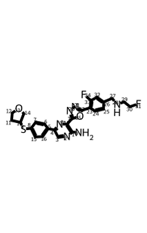 Nc1ncc(-c2ccc(SC3CCOC3)cc2)nc1-c1nnc(-c2ccc(CNCCF)cc2F)o1